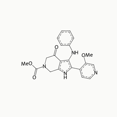 COC(=O)N1CC(=O)c2c([nH]c(-c3ccncc3OC)c2Nc2ccccc2)C1